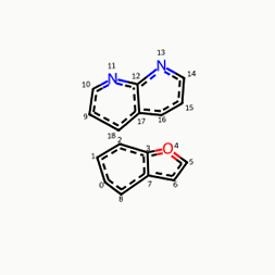 c1ccc2occc2c1.c1cnc2ncccc2c1